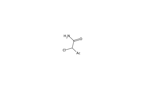 CC(=O)C(Cl)C(N)=O